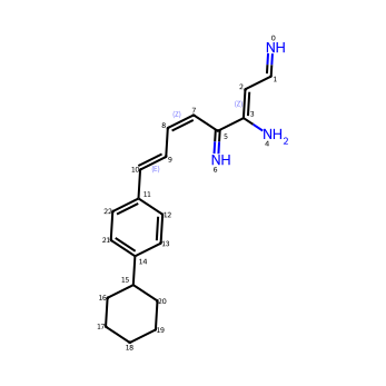 N=C/C=C(\N)C(=N)/C=C\C=C\c1ccc(C2CCCCC2)cc1